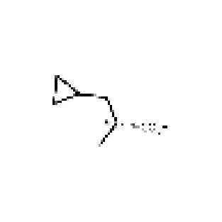 C[C@H](CC1CC1)C(=O)O